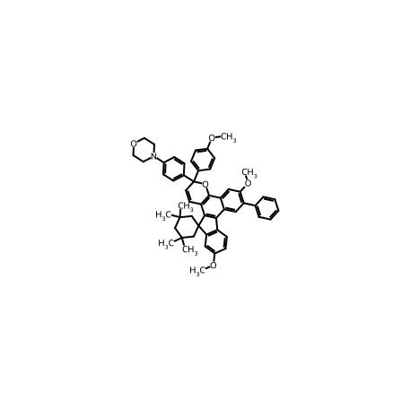 COc1ccc(C2(c3ccc(N4CCOCC4)cc3)C=Cc3c4c(c5cc(-c6ccccc6)c(OC)cc5c3O2)-c2ccc(OC)cc2C42CC(C)(C)CC(C)(C)C2)cc1